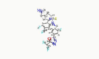 Fc1ccc(N(Cc2ccc(-c3nnc(C(F)F)o3)cc2F)C(=S)N2CCC3(CC2)CNC3)cc1F